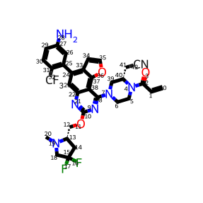 C=CC(=O)N1CCN(c2nc(OC[C@@H]3CC(F)(F)CN3C)nc3cc(-c4cc(N)ccc4C(F)(F)F)c4ccoc4c23)C[C@@H]1CC#N